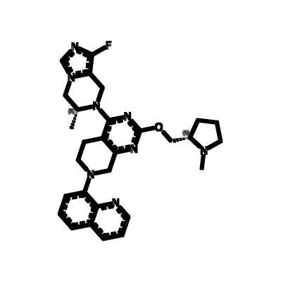 C[C@@H]1Cn2cnc(F)c2CN1c1nc(OC[C@@H]2CCCN2C)nc2c1CCN(c1cccc3cccnc13)C2